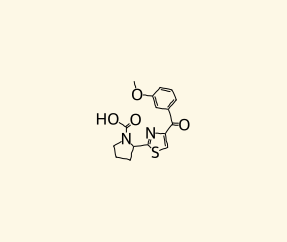 COc1cccc(C(=O)c2csc(C3CCCN3C(=O)O)n2)c1